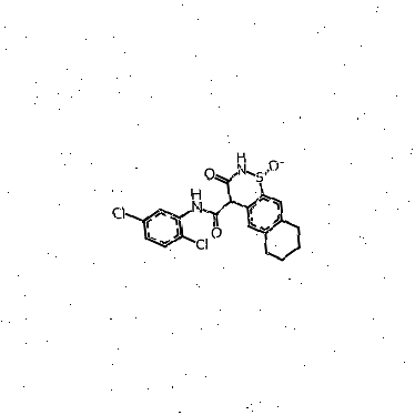 O=C(Nc1cc(Cl)ccc1Cl)C1C(=O)N[S+]([O-])c2cc3c(cc21)CCCC3